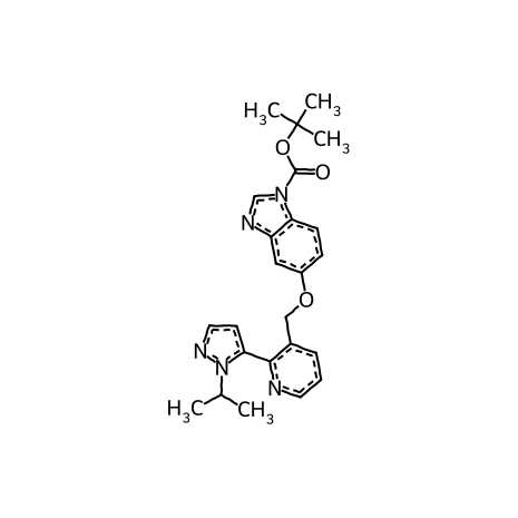 CC(C)n1nccc1-c1ncccc1COc1ccc2c(c1)ncn2C(=O)OC(C)(C)C